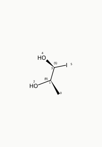 C[C@@H](O)[C@@H](O)I